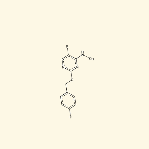 ONc1nc(OCc2ccc(F)cc2)ncc1F